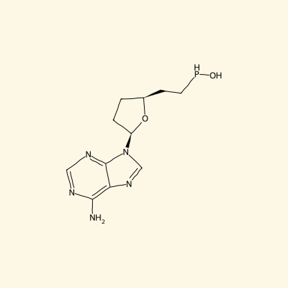 Nc1ncnc2c1ncn2[C@H]1CC[C@@H](CCPO)O1